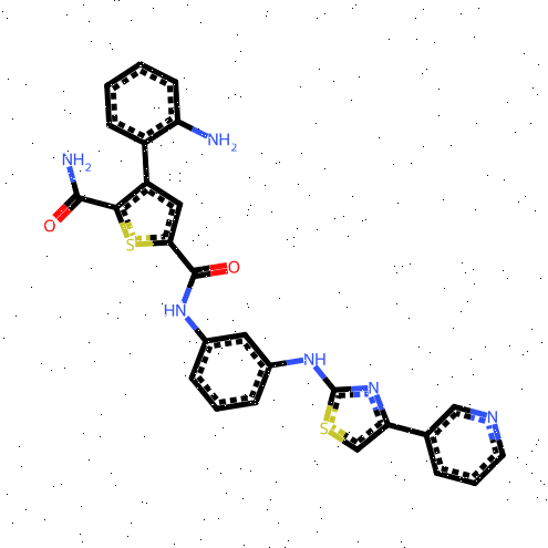 NC(=O)c1sc(C(=O)Nc2cccc(Nc3nc(-c4cccnc4)cs3)c2)cc1-c1ccccc1N